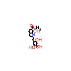 CC(=O)c1ccc2ccc(C=Cc3cc(O)c(O)cc3O)nc2c1O